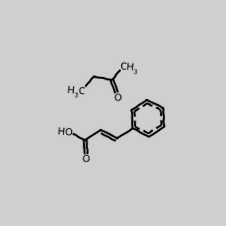 CCC(C)=O.O=C(O)C=Cc1ccccc1